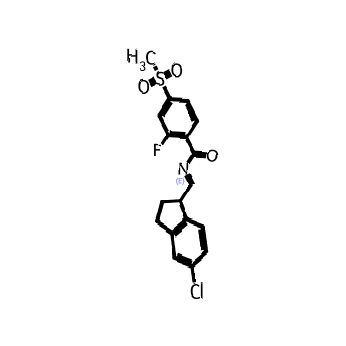 CS(=O)(=O)c1ccc(C(=O)/N=C/C2CCc3cc(Cl)ccc32)c(F)c1